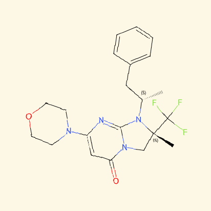 C[C@@H](Cc1ccccc1)N1c2nc(N3CCOCC3)cc(=O)n2C[C@@]1(C)C(F)(F)F